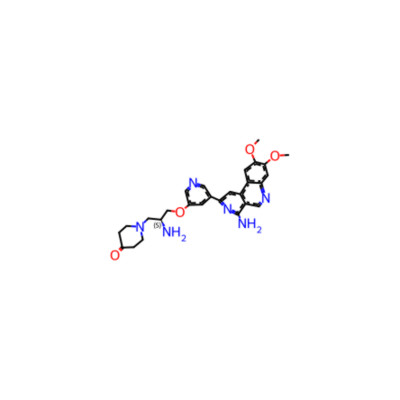 COc1cc2ncc3c(N)nc(-c4cncc(OC[C@@H](N)CN5CCC(=O)CC5)c4)cc3c2cc1OC